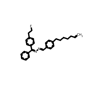 C=CCCCCCc1ccc(C=NN=C(c2ccccc2)c2ccc(CCF)cc2)cc1